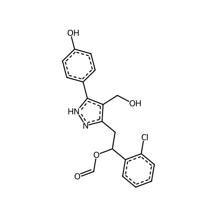 O=COC(Cc1n[nH]c(-c2ccc(O)cc2)c1CO)c1ccccc1Cl